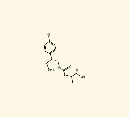 CC(OC(=O)NC[C@H](CC(=O)O)c1ccc(Cl)cc1)C(=O)C(C)(C)C